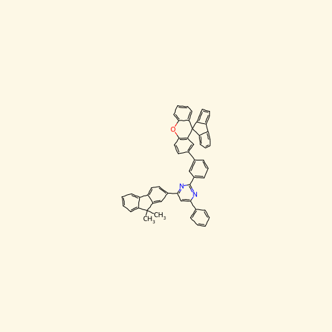 CC1(C)c2ccccc2-c2ccc(-c3cc(-c4ccccc4)nc(-c4cccc(-c5ccc6c(c5)C5(c7ccccc7O6)c6ccccc6-c6ccccc65)c4)n3)cc21